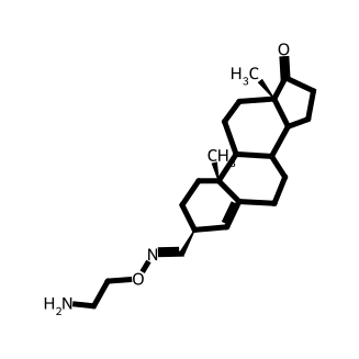 C[C@]12CC[C@H](C=NOCCN)C=C1CCC1C2CC[C@]2(C)C(=O)CCC12